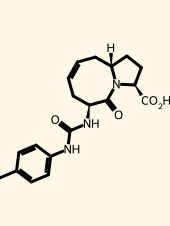 Cc1ccc(NC(=O)N[C@H]2C/C=C\C[C@@H]3CC[C@@H](C(=O)O)N3C2=O)cc1